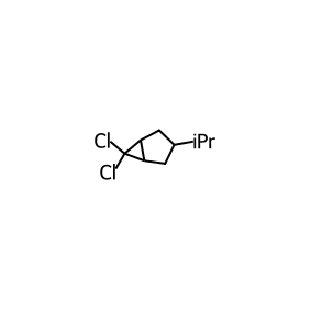 CC(C)C1CC2C(C1)C2(Cl)Cl